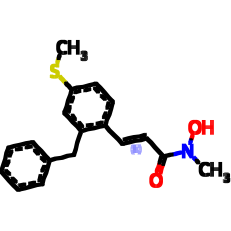 CSc1ccc(/C=C/C(=O)N(C)O)c(Cc2ccccc2)c1